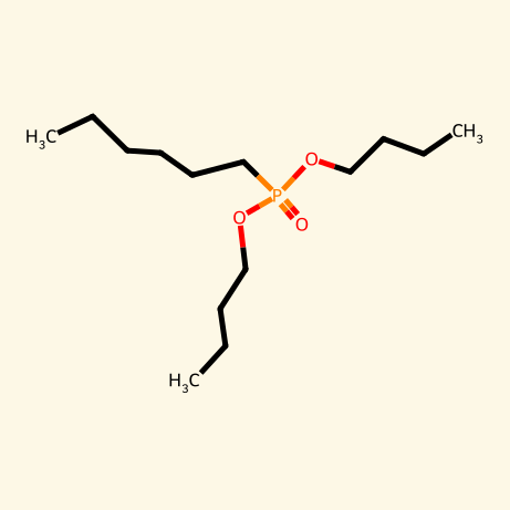 CCCCCCP(=O)(OCCCC)OCCCC